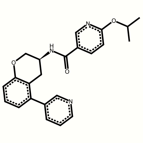 CC(C)Oc1ccc(C(=O)N[C@@H]2COc3cccc(-c4cccnc4)c3C2)cn1